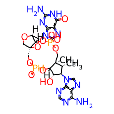 C[C@@H]1[C@@H](n2cnc3c(N)ncnc32)[C@H](O)[C@@H]2O[PH](=O)OC[C@@]34CO[C@@H]([C@H](n5cnc6c(=O)[nH]c(N)nc65)O3)[C@@H]4OP(=O)(O)OC[C@@]12C